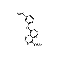 COc1nccc2c(Oc3cccc(SC)c3)ccnc12